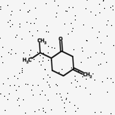 C=C1CCC(C(C)C)C(=O)C1